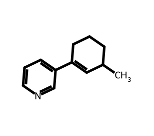 CC1C=C(c2cccnc2)CCC1